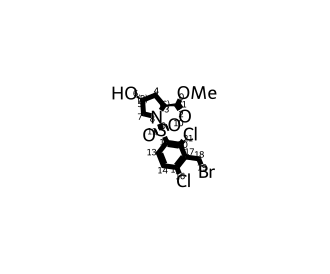 COC(=O)[C@@H]1C[C@@H](O)CN1S(=O)(=O)c1ccc(Cl)c(CBr)c1Cl